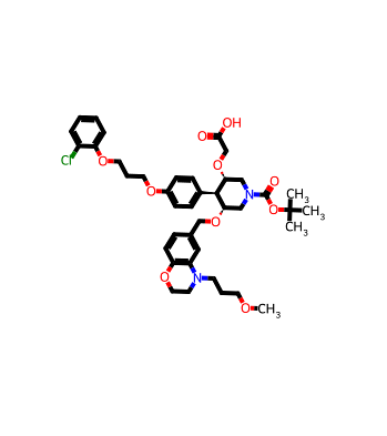 COCCCN1CCOc2ccc(CO[C@H]3CN(C(=O)OC(C)(C)C)C[C@@H](OCC(=O)O)[C@@H]3c3ccc(OCCCOc4ccccc4Cl)cc3)cc21